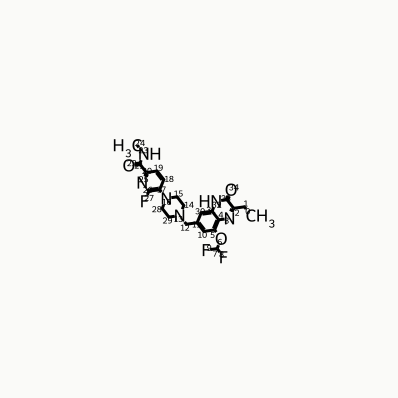 CCc1nc2c(OC(F)F)cc(CN3CCN(c4ccc(C(=O)NC)nc4F)CC3)cc2[nH]c1=O